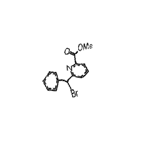 COC(=O)c1cccc(C(Br)c2ccccc2)n1